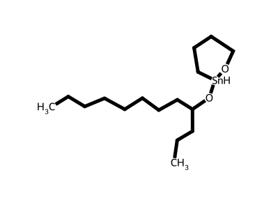 CCCCCCCCC(CCC)[O][SnH]1[CH2]CCC[O]1